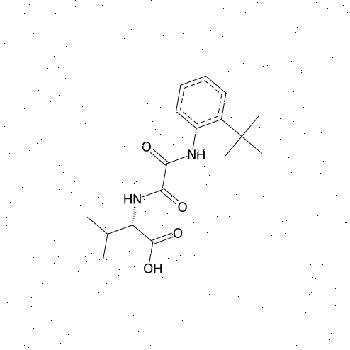 CC(C)[C@H](NC(=O)C(=O)Nc1ccccc1C(C)(C)C)C(=O)O